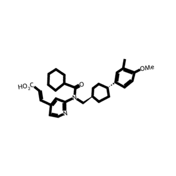 COc1ccc([C@H]2CC[C@H](CN(C(=O)C3CCCCC3)c3cc(C=CC(=O)O)ccn3)CC2)cc1C